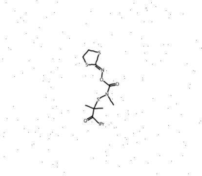 CC(C)C(=O)C(C)(C)SN(C)C(=O)ON=C1SCCS1